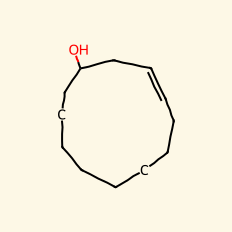 OC1CC=CCCCCCCCC1